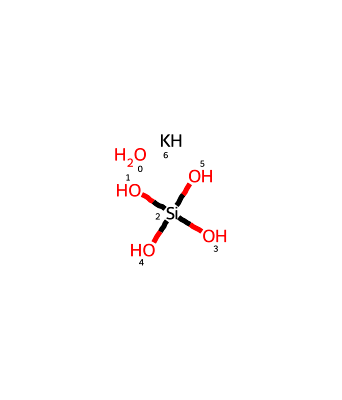 O.O[Si](O)(O)O.[KH]